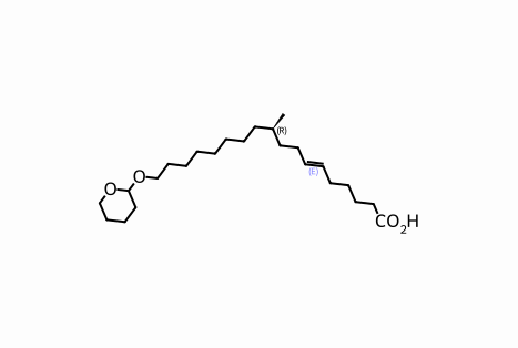 C[C@@H](CC/C=C/CCCCC(=O)O)CCCCCCCCOC1CCCCO1